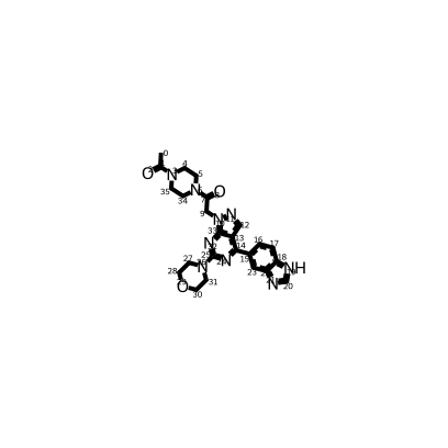 CC(=O)N1CCN(C(=O)Cn2ncc3c(-c4ccc5[nH]cnc5c4)nc(N4CCOCC4)nc32)CC1